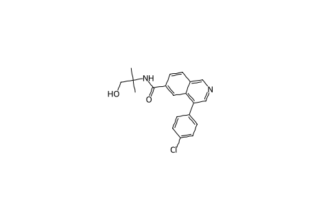 CC(C)(CO)NC(=O)c1ccc2cncc(-c3ccc(Cl)cc3)c2c1